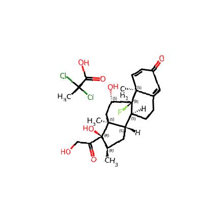 CC(Cl)(Cl)C(=O)O.C[C@@H]1C[C@H]2[C@@H]3CCC4=CC(=O)C=C[C@]4(C)[C@@]3(F)[C@@H](O)C[C@]2(C)[C@@]1(O)C(=O)CO